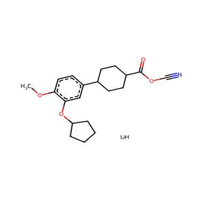 COc1ccc(C2CCC(C(=O)OC#N)CC2)cc1OC1CCCC1.[LiH]